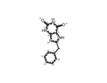 O=c1[nH]c(=O)c2[nH]c(Cc3ccccc3)nc2[nH]1